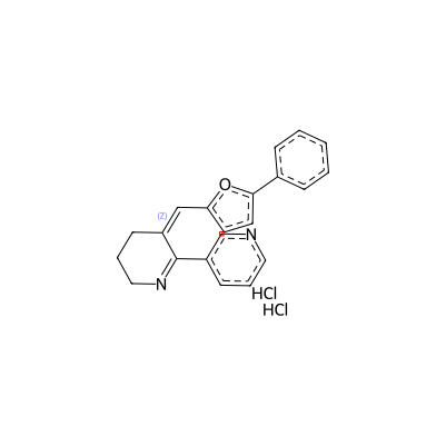 C(=C1\CCCN=C1c1cccnc1)/c1ccc(-c2ccccc2)o1.Cl.Cl